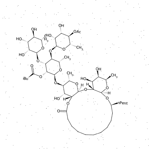 CCCCC[C@H]1CCCCCCCCCC(=O)O[C@H]2[C@H](O[C@H]3[C@H](O1)O[C@H](C)[C@H](O)[C@@H]3O)O[C@@H](C)[C@H](O[C@@H]1O[C@@H](C)[C@H](O[C@@H]3O[C@@H](C)[C@H](OC(C)=O)[C@@H](O)[C@H]3O)[C@@H](O[C@@H]3O[C@@H](C)[C@H](O)[C@@H](O)[C@H]3O)[C@H]1OC(=O)[C@H](C)CC)[C@H]2O